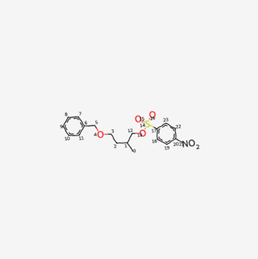 CC(CCOCc1ccccc1)COS(=O)(=O)c1ccc([N+](=O)[O-])cc1